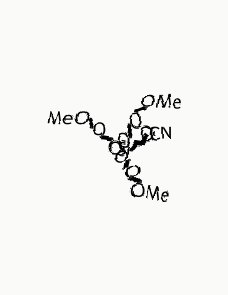 COCCOCCO[Si](CCCOC#N)(OCCOCCOC)OCCOCCOC